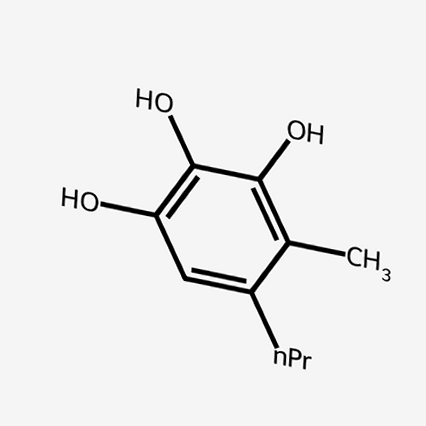 CCCc1cc(O)c(O)c(O)c1C